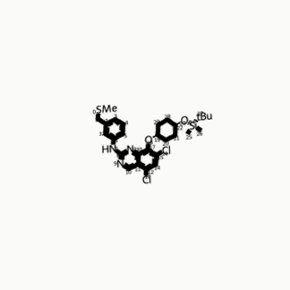 CSCc1cccc(Nc2ncc3c(Cl)cc(Cl)c(O[C@H]4CC[C@@H](O[Si](C)(C)C(C)(C)C)CC4)c3n2)c1